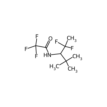 CC(C)(C)C(NC(=O)C(F)(F)F)C(C)(F)F